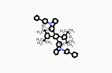 CC(C)(C)c1cc(-c2cc(-c3ccc4c(c3)c3ccccc3n4-c3ccc(-c4ccccc4)cc3)c(-c3cc(C(C)(C)C)cc(C(C)(C)C)c3)cc2-c2ccc3c(c2)c2ccccc2n3-c2ccc(-c3ccccc3)cc2)cc(C(C)(C)C)c1